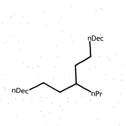 CCCCCCCCCCCC[C](CCC)CCCCCCCCCCCC